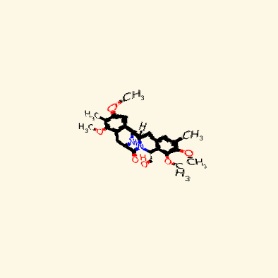 COc1cc2c(c(OC)c1C)CC1NC2[C@@H]2Cc3cc(C)c(OC)c(OC)c3[C@H](CO)N2C1=O